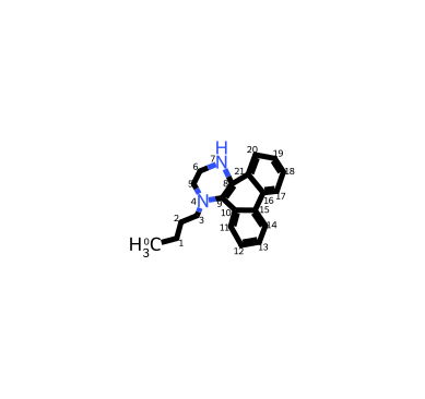 CCCCN1CCNc2c1c1ccccc1c1ccccc21